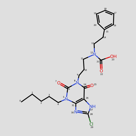 CCCCCn1c(=O)n(CCCN(CCc2ccccc2)C(=O)O)c(=O)c2[nH]c(Cl)nc21